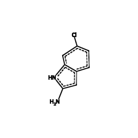 Nc1cc2ccc(Cl)cc2[nH]1